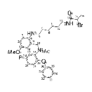 COc1ccc(NCCCCCCNC(=O)C(C)Br)c(CN(C(C)=O)c2cc(F)ccc2Oc2ccccc2)c1